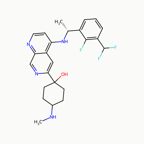 CNC1CCC(O)(c2cc3c(N[C@H](C)c4cccc(C(F)F)c4F)ccnc3cn2)CC1